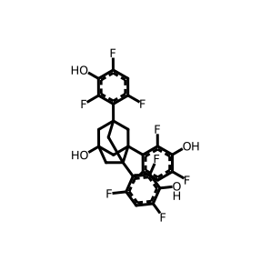 Oc1c(F)cc(F)c(C23CC4(O)CC(c5c(F)cc(F)c(O)c5F)(C2)C(c2c(F)cc(F)c(O)c2F)(C4)C3)c1F